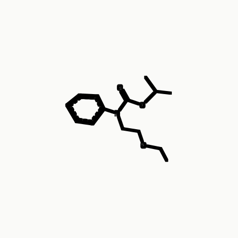 CCOCCN(C(=O)OC(C)C)c1ccccc1